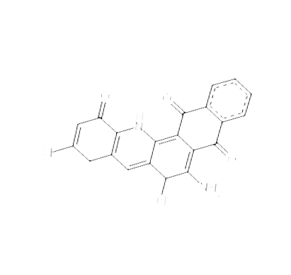 NC1=C2C(=O)c3ccccc3C(=O)C2=C2NC3=C(C=C2C1Cl)CC(Cl)=CC3=O